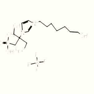 CCCCCCCC[n+]1ccn(C(CC)(CC)CP(=O)(O)O)c1.F[B-](F)(F)F